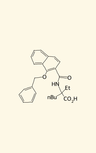 CCCCC(CC)(NC(=O)c1ccc2ccccc2c1OCc1ccccc1)C(=O)O